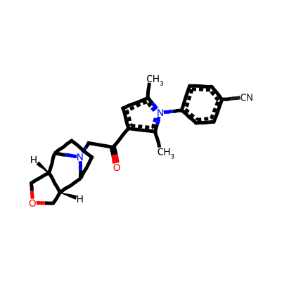 Cc1cc(C(=O)CN2C3CCC2[C@@H]2COC[C@H]32)c(C)n1-c1ccc(C#N)cc1